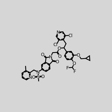 Cc1cccnc1CN(c1ccc2c(c1)C(=O)N(CC(=O)OC(Cc1c(Cl)cncc1Cl)c1ccc(OC(F)F)c(OCC3CC3)c1)C2=O)S(C)(=O)=O